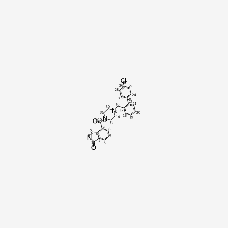 O=C1N=Cc2c1cccc2C(=O)N1CCN(Cc2ccccc2-c2ccc(Cl)cc2)CC1